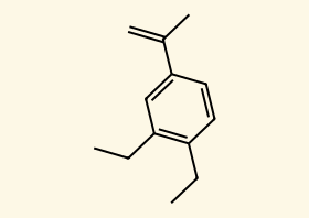 C=C(C)c1ccc(CC)c(CC)c1